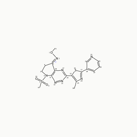 CO/N=C1\CCN(S(C)(=O)=O)c2nnc(-c3sc(-c4cccnc4)nc3C)nc21